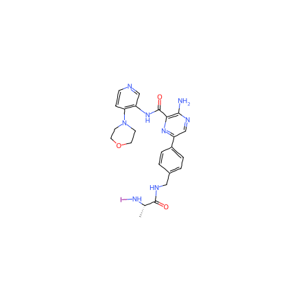 C[C@H](NI)C(=O)NCc1ccc(-c2cnc(N)c(C(=O)Nc3cnccc3N3CCOCC3)n2)cc1